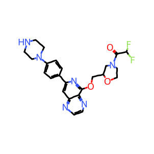 O=C(C(F)F)N1CCOC(COc2nc(-c3ccc(N4CCNCC4)cc3)cc3nccnc23)C1